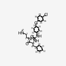 CNCCNC(=O)C(Cc1ccccc1)NC(=O)Nc1ccc(Oc2ccc(Cl)cc2)cc1